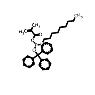 C=C(C)C(=O)OP(OCCCCCCCCC)OC(c1ccccc1)(c1ccccc1)c1ccccc1